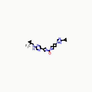 O=C(N1CC(c2cnc(NCC3(C(F)(F)F)CC3)cn2)C1)N1CC2(CC(n3cnc(C4CC4)n3)C2)C1